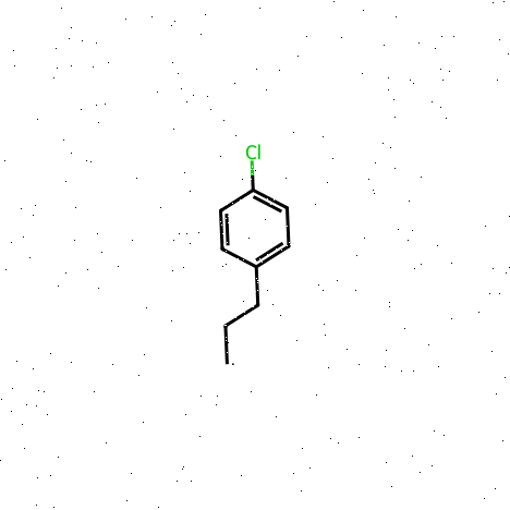 [CH2]CCc1ccc(Cl)cc1